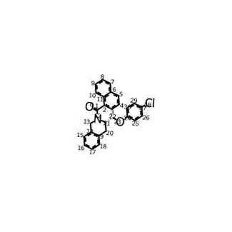 O=C(c1cccc2ccccc12)N1Cc2ccccc2C[C@H]1COc1ccc(Cl)cc1